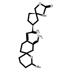 C=C(/C=C1/CCC2(CCCC(CCCC)O2)C/C1=C/C)[C@H]1CC[C@]2(COC(=O)N2)C1